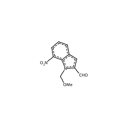 COCn1c(C=O)cc2cccc([N+](=O)[O-])c21